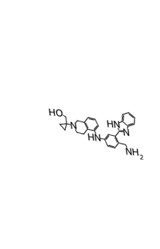 NCc1ccc(Nc2cccc3c2CCN(C2(CO)CC2)C3)cc1-c1nc2ccccc2[nH]1